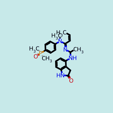 C/C=C\C(=N/C(C)Nc1cccc2c1CC(=O)N2)N(C)c1ccc(P(C)(C)=O)cc1